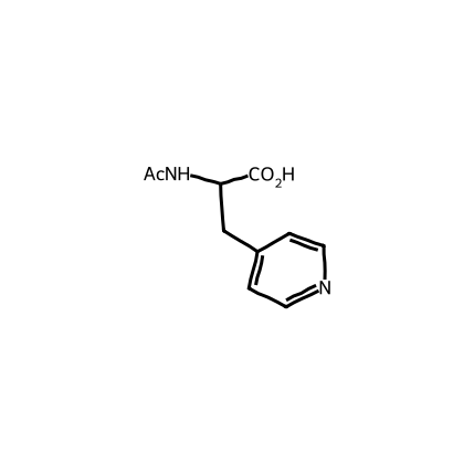 CC(=O)NC(Cc1ccncc1)C(=O)O